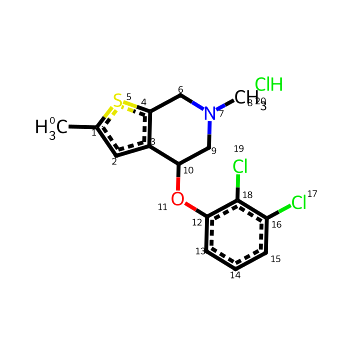 Cc1cc2c(s1)CN(C)CC2Oc1cccc(Cl)c1Cl.Cl